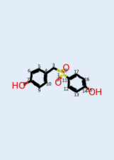 O=S(=O)(Cc1ccc(O)cc1)c1ccc(O)cc1